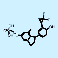 Cc1cc(OCP(=O)(O)O)cc2c1C(C1=CCC(O)C(C3CC3(F)F)=C1)CC2